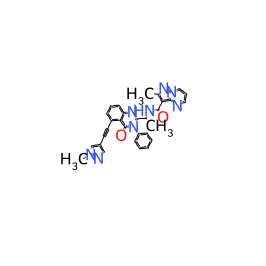 Cc1nn2cccnc2c1C(=O)N[C@@H](C)c1nc2cccc(C#Cc3cnn(C)c3)c2c(=O)n1-c1ccccc1